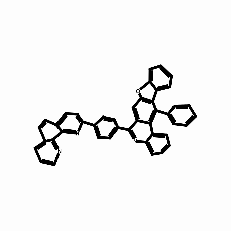 c1ccc(-c2c3c(cc4c(-c5ccc(-c6ccc7ccc8cccnc8c7n6)cc5)nc5ccccc5c24)oc2ccccc23)cc1